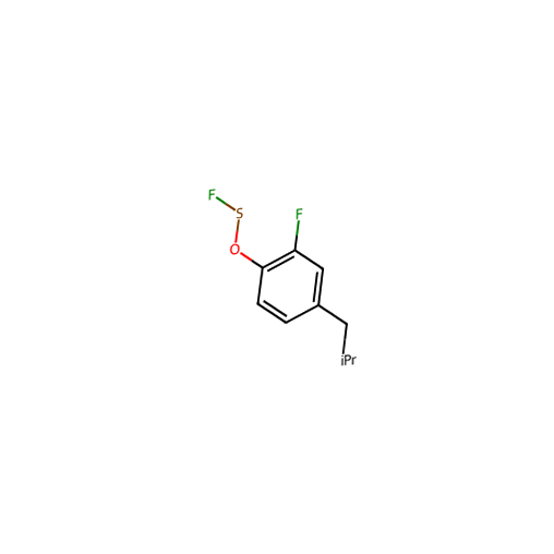 CC(C)Cc1ccc(OSF)c(F)c1